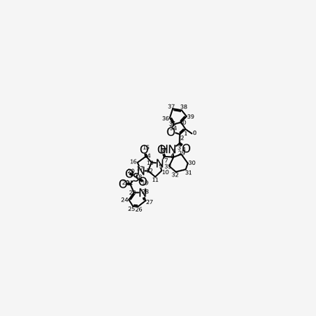 Cc1c(C(=O)NC2(C(=O)N3CCC4C3C(=O)CN4S(=O)(=O)C(=O)c3ccccn3)CCCCC2)oc2ccccc12